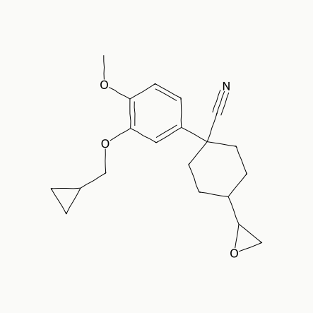 COc1ccc(C2(C#N)CCC(C3CO3)CC2)cc1OCC1CC1